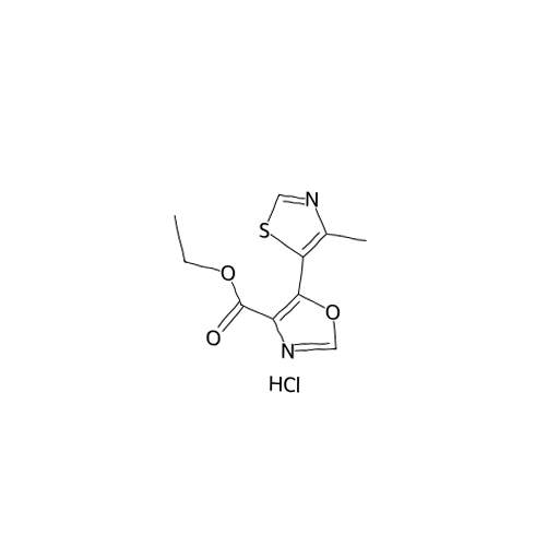 CCOC(=O)c1ncoc1-c1scnc1C.Cl